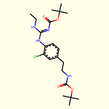 CCNC(=NC(=O)OC(C)(C)C)Nc1ccc(CCNC(=O)OC(C)(C)C)cc1Cl